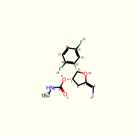 CC(C)(C)NC(=O)O[C@H]1CC(=CI)O[C@H]1c1cc(F)ccc1F